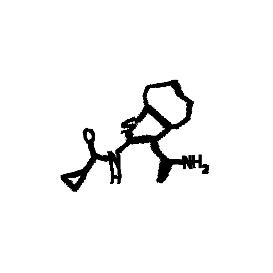 C=C(N)c1c(NC(=O)C2CC2)sc2c1CCCC2